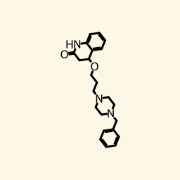 O=C1CC(OCCCN2CCN(Cc3ccccc3)CC2)c2ccccc2N1